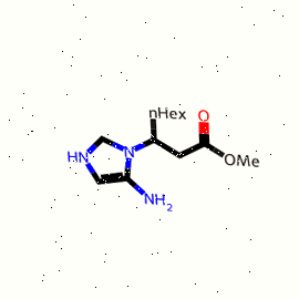 CCCCCCC(CC(=O)OC)N1CNC=C1N